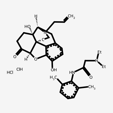 C=CCN1CC[C@]23c4c5ccc(O)c4O[C@H]2C(=O)CC[C@@]3(O)[C@H]1C5.CCN(CC)CC(=O)Nc1c(C)cccc1C.Cl.Cl